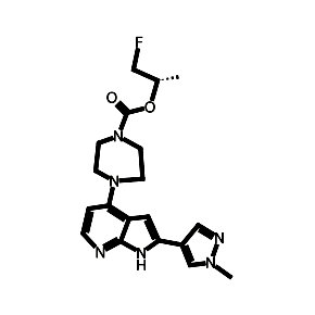 C[C@@H](CF)OC(=O)N1CCN(c2ccnc3[nH]c(-c4cnn(C)c4)cc23)CC1